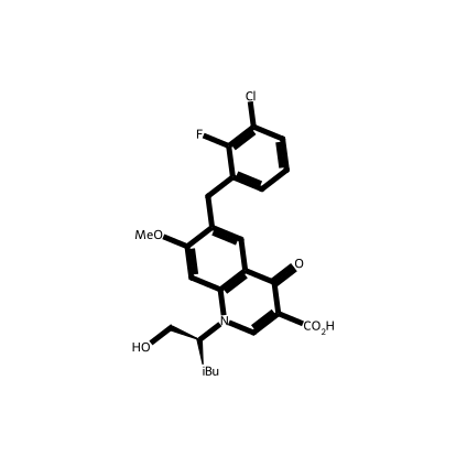 CC[C@H](C)[C@@H](CO)n1cc(C(=O)O)c(=O)c2cc(Cc3cccc(Cl)c3F)c(OC)cc21